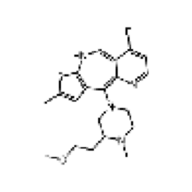 COCCC1CN(C2=c3nccc(F)c3=CNc3sc(C)cc32)CCN1C